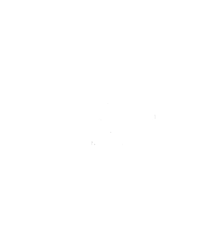 N#CC(Br)(CCCl)C(=O)c1ccccc1